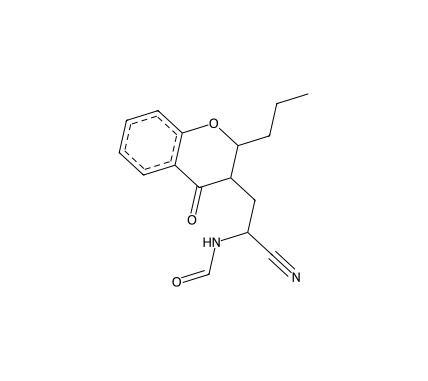 CCCC1Oc2ccccc2C(=O)C1CC(C#N)NC=O